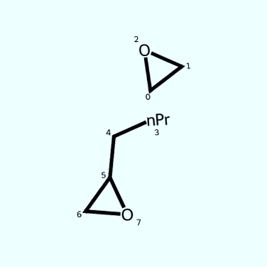 C1CO1.CCCCC1CO1